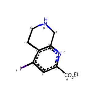 CCOC(=O)c1cc(I)c2c(n1)CNCC2